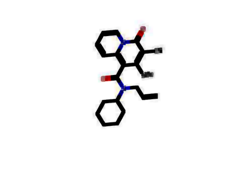 C=CCN(C(=O)c1c(SC)c(C#N)c(=O)n2ccccc12)C1CCCCC1